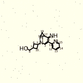 N=C(/C(=C\NC1CC(CO)C1)c1ccccn1)C1CC1